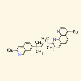 CC(C)(C)c1cc2ccc(C(C)(C)CCC(C)(C)c3ccc4ccc5c(C(C)(C)C)ccnc5c4n3)cc2cn1